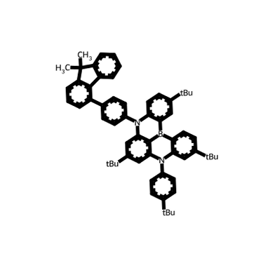 CC(C)(C)c1ccc(N2c3cc(C(C)(C)C)ccc3B3c4cc(C(C)(C)C)ccc4N(c4ccc(-c5cccc6c5-c5ccccc5C6(C)C)cc4)c4cc(C(C)(C)C)cc2c43)cc1